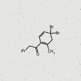 CC1=C(C(=O)CC(C)C)C=CC(Br)(Br)C1